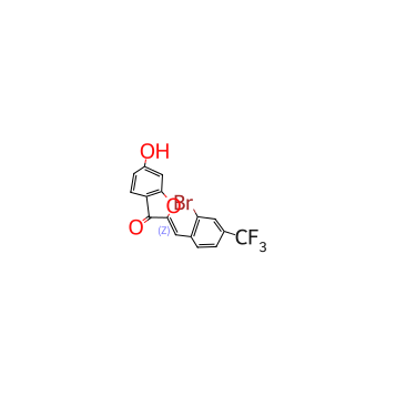 O=C1/C(=C/c2ccc(C(F)(F)F)cc2Br)Oc2cc(O)ccc21